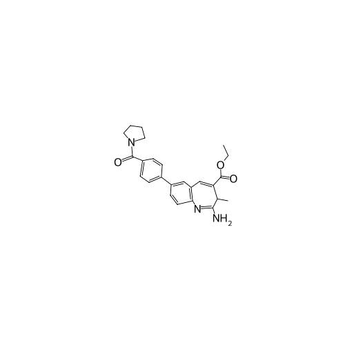 CCOC(=O)C1=Cc2cc(-c3ccc(C(=O)N4CCCC4)cc3)ccc2N=C(N)C1C